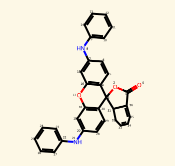 O=C1OC2(c3ccc(Nc4ccccc4)cc3Oc3cc(Nc4ccccc4)ccc32)C2CC=CC=C12